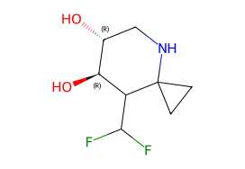 O[C@@H]1CNC2(CC2)C(C(F)F)[C@H]1O